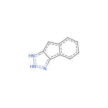 c1ccc2c3n[nH][nH]c-3cc2c1